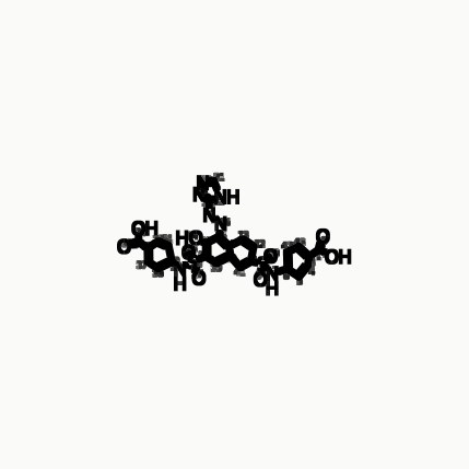 O=C(O)c1ccc(NS(=O)(=O)c2ccc3c(N=Nc4nnc[nH]4)c(O)c(S(=O)(=O)Nc4ccc(C(=O)O)cc4)cc3c2)cc1